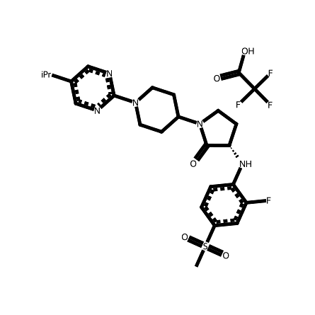 CC(C)c1cnc(N2CCC(N3CC[C@H](Nc4ccc(S(C)(=O)=O)cc4F)C3=O)CC2)nc1.O=C(O)C(F)(F)F